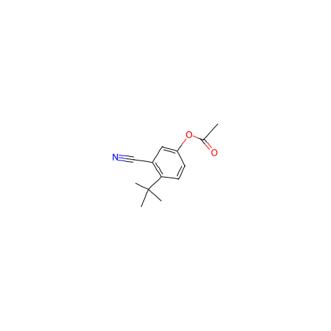 CC(=O)Oc1ccc(C(C)(C)C)c(C#N)c1